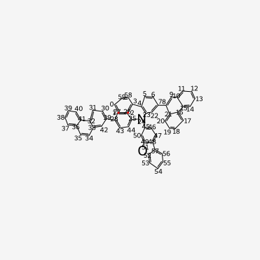 c1ccc(-c2ccc(-c3cc4ccccc4c4ccccc34)cc2N(c2ccc(-c3ccc4c(ccc5ccccc54)c3)cc2)c2ccc3c(c2)oc2ccccc23)cc1